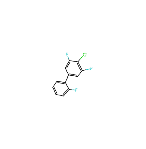 Fc1ccccc1-c1cc(F)c(Cl)c(F)c1